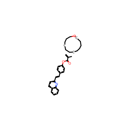 C1CCCCCCOCCCCC1.C=C(C)C(=O)Oc1ccc(C=Cc2ccc3ccccc3n2)cc1